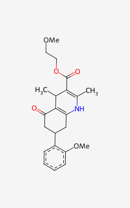 COCCOC(=O)C1=C(C)NC2=C(C(=O)CC(c3ccccc3OC)C2)C1C